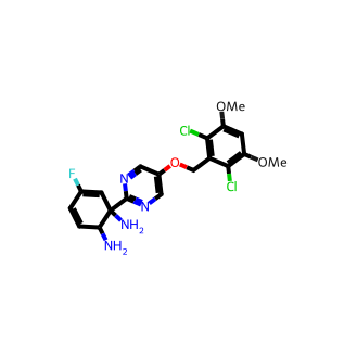 COc1cc(OC)c(Cl)c(COc2cnc(C3(N)C=C(F)C=CC3N)nc2)c1Cl